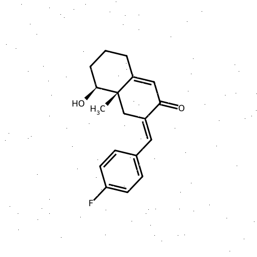 C[C@]12CC(=Cc3ccc(F)cc3)C(=O)C=C1CCC[C@@H]2O